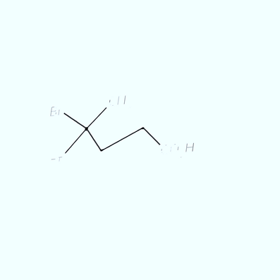 CCC(C)(Br)CCC(=O)O